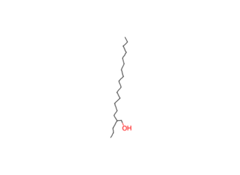 CCCCCCCCCCCCCCCC(CO)CCC